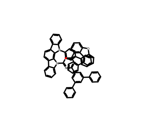 c1ccc(-c2ccc(-n3c4ccccc4c4ccc5c6ccccc6n(-c6nc(-c7cc(-c8ccccc8)cc(-c8ccccc8)c7)nc(-c7cccc8oc9cccc(-c%10ccccc%10)c9c78)n6)c5c43)cc2)cc1